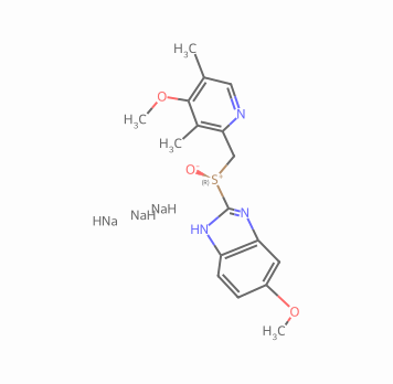 COc1ccc2[nH]c([S@@+]([O-])Cc3ncc(C)c(OC)c3C)nc2c1.[NaH].[NaH].[NaH]